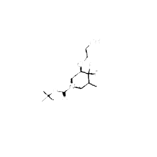 CC1CN(C(=O)OC(C)(C)C)CC(OCCO)C1(F)F